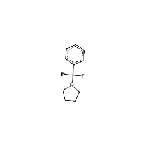 FC(F)(c1ccccc1)N1CCCC1